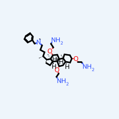 C[C@H](CCCN(C)Cc1ccccc1)[C@H]1CC[C@H]2[C@@H]3[C@H](OCCN)C[C@@H]4C[C@H](OCCN)CC[C@]4(C)[C@H]3C[C@H](OCCN)[C@]12C